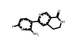 Nc1nc(F)ccc1-c1cc2c(cn1)C(=O)NCC2